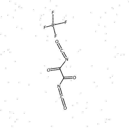 F[B-](F)(F)F.O=C=NC(=O)C(=O)N=C=O